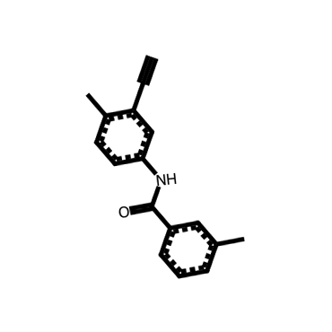 C#Cc1cc(NC(=O)c2cccc(C)c2)ccc1C